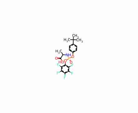 CC(NP(=O)(Oc1ccc(C(C)(C)C)cc1)Oc1c(F)c(F)c(F)c(F)c1F)C(=O)O